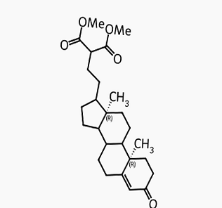 COC(=O)C(CCC1CCC2C3CCC4=CC(=O)CC[C@]4(C)C3CC[C@]12C)C(=O)OC